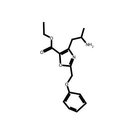 CCOC(=O)c1oc(COc2ccccc2)nc1CC(C)N